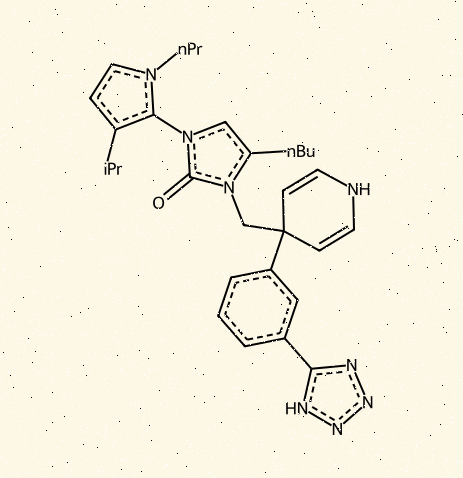 CCCCc1cn(-c2c(C(C)C)ccn2CCC)c(=O)n1CC1(c2cccc(-c3nnn[nH]3)c2)C=CNC=C1